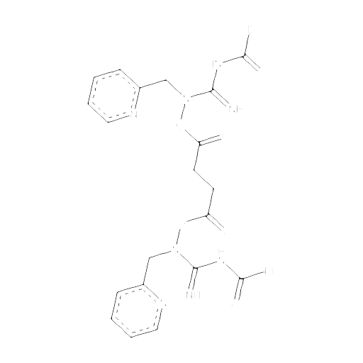 CCC(=O)NC(=N)N(Cc1ccccn1)OC(=O)CCC(=O)ON(Cc1ccccn1)C(=N)NC(=O)CC